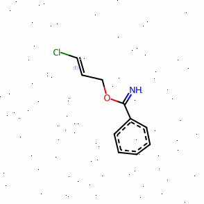 N=C(OC/C=C/Cl)c1cc[c]cc1